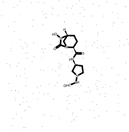 O=CBN1CC[C@H](NC(=O)[C@@H]2CC[C@@H]3CN2C(=O)N3O)C1